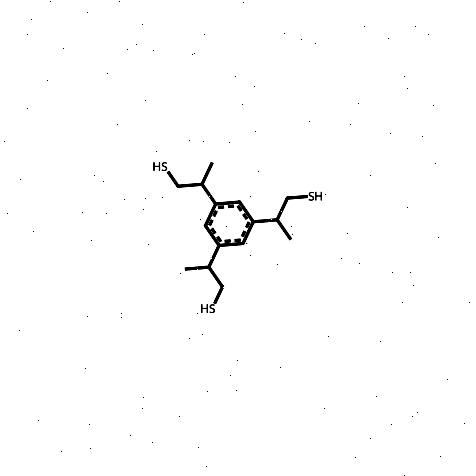 CC(CS)c1[c]c(C(C)CS)cc(C(C)CS)c1